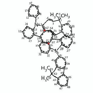 CC1(C)/C=C/C(N(c2ccccc2)c2ccccc2-c2ccc(-c3ccccc3N(c3ccccc3)c3ccc4c(c3)C(C)(C)c3ccccc3-4)cc2)=C\C=C\c2ccccc21